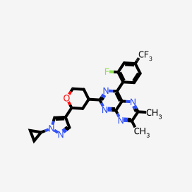 Cc1nc2nc(C3CCOC(c4cnn(C5CC5)c4)C3)nc(-c3ccc(C(F)(F)F)cc3F)c2nc1C